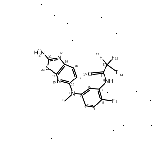 CN(c1ccc(F)c(NC(=O)C(F)(F)F)c1)c1ccc2nc(N)sc2n1